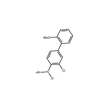 CCC[S+]([O-])c1ccc(-c2[c]cccc2OC)cc1Cl